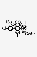 COC[C@@H]1Cn2c(C)cc3c(-c4ccc(Cl)cc4)c([C@H](OC(C)(C)C)C(=O)O)c(C)c(c32)N1S(C)(=O)=O